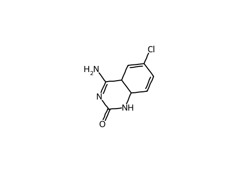 NC1=NC(=O)NC2C=CC(Cl)=CC12